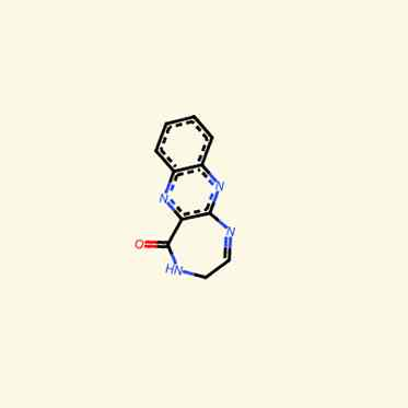 O=C1NCC=Nc2nc3ccccc3nc21